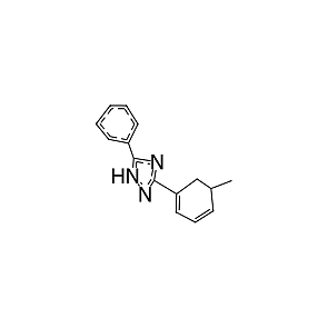 CC1C=CC=C(c2n[nH]c(-c3ccccc3)n2)C1